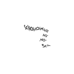 [OH-].[OH-].[OH-].[OH-].[OH-].[OH-].[Sc+3].[Sc+3]